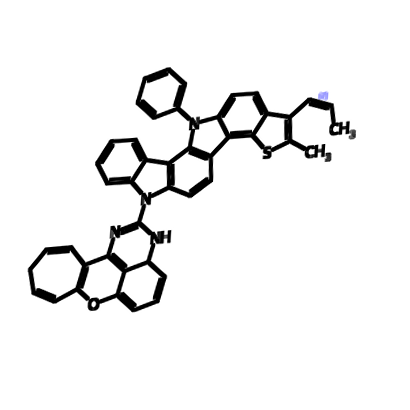 C/C=C\c1c(C)sc2c1ccc1c2c2ccc3c(c4ccccc4n3C3=NC4=C5C(=CC=CC5N3)OC3=C4C=CCC=C3)c2n1-c1ccccc1